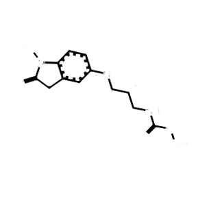 CCN1C(=O)Cc2cc(NC[C@H](O)CNC(=O)OC(C)(C)C)ccc21